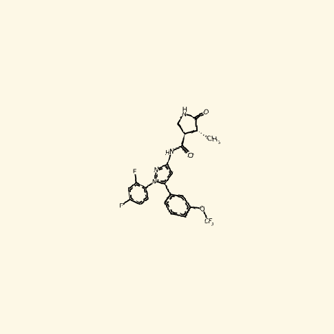 C[C@H]1C(=O)NC[C@@H]1C(=O)Nc1cc(-c2cccc(OC(F)(F)F)c2)n(-c2ccc(F)cc2F)n1